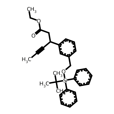 CC#CC(CC(=O)OCC)c1cccc(CO[Si](c2ccccc2)(c2ccccc2)C(C)(C)C)c1